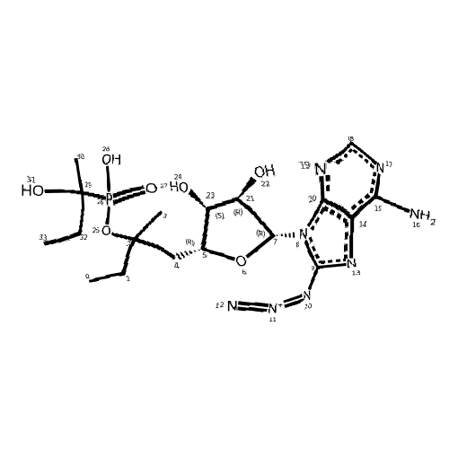 CCC(C)(C[C@H]1O[C@@H](n2c(N=[N+]=[N-])nc3c(N)ncnc32)[C@H](O)[C@@H]1O)OP(=O)(O)C(C)(O)CC